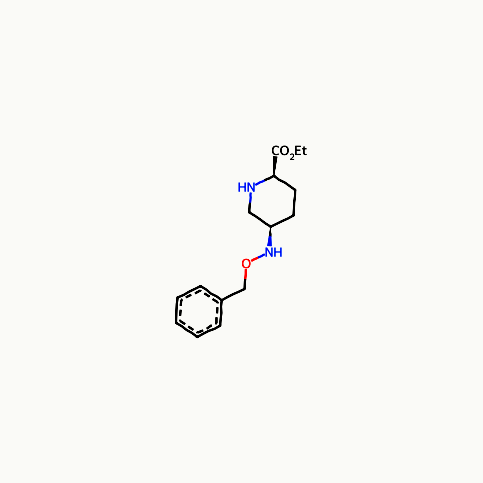 CCOC(=O)[C@H]1CC[C@@H](NOCc2ccccc2)CN1